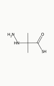 CC(C)(NN)C(=O)S